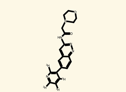 [2H]c1nc([2H])c(-c2ccc3nnc(NC(=O)CN4CCOCC4)cc3c2)c([2H])c1[2H]